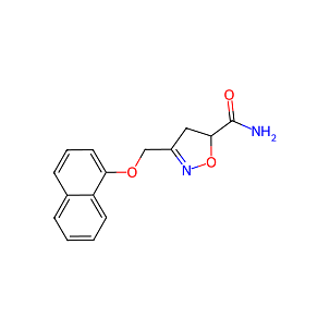 NC(=O)C1CC(COc2cccc3ccccc23)=NO1